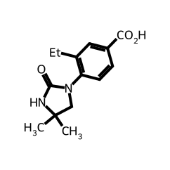 CCc1cc(C(=O)O)ccc1N1CC(C)(C)NC1=O